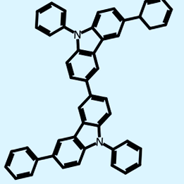 C1=CCC(c2ccc3c(c2)c2cc(-c4ccc5c(c4)c4cc(-c6ccccc6)ccc4n5-c4ccccc4)ccc2n3-c2ccccc2)C=C1